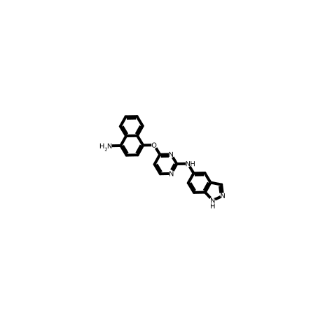 Nc1ccc(Oc2ccnc(Nc3ccc4[nH]ncc4c3)n2)c2ccccc12